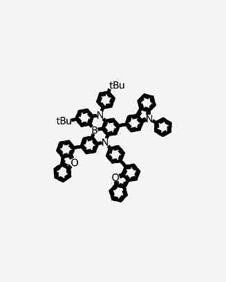 CC(C)(C)c1ccc(N2c3ccc(C(C)(C)C)cc3B3c4cc(-c5cccc6c5oc5ccccc56)ccc4N(c4ccc(-c5cccc6c5oc5ccccc56)cc4)c4cc(-c5ccc6c(c5)c5ccccc5n6-c5ccccc5)cc2c43)cc1